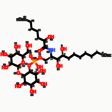 CCCCCCCCCCCCCCCC[C@@H](O)[C@@H](O)[C@H](COP(=O)(O)O[C@H]1C(O)C(O)C(O)[C@@H](O)C1O[C@H]1O[C@H](CO)[C@@H](O)C(O)C1O)NC(=O)C(O)CCCCCCCCCCCCCC